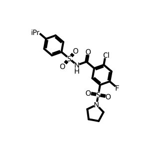 CC(C)c1ccc(S(=O)(=O)NC(=O)c2cc(S(=O)(=O)N3CCCC3)c(F)cc2Cl)cc1